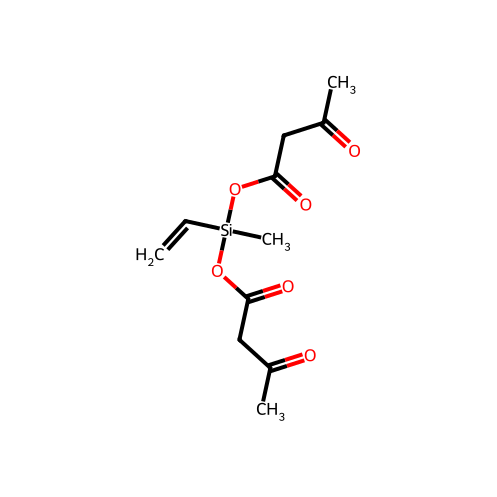 C=C[Si](C)(OC(=O)CC(C)=O)OC(=O)CC(C)=O